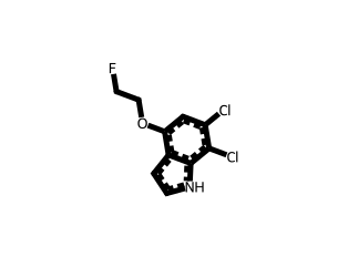 FCCOc1cc(Cl)c(Cl)c2[nH]ccc12